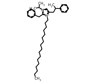 CCCCCCCCCCCCCCCCC[n+]1c(CC(C)c2ccccc2)cn(C(C)C)c1Cc1ccccc1